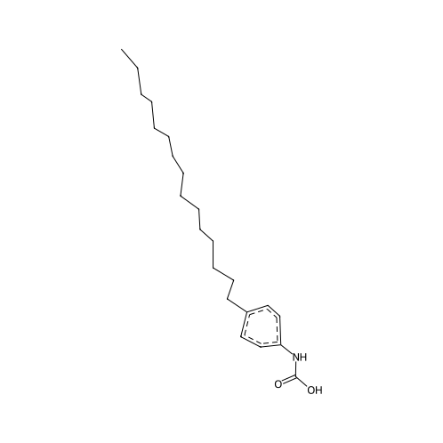 CCCCCCCCCCCCCCCc1ccc(NC(=O)O)cc1